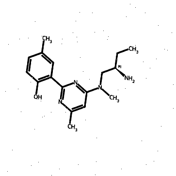 CC[C@@H](N)CN(C)c1cc(C)nc(-c2cc(C)ccc2O)n1